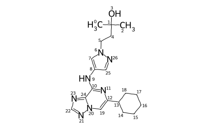 CC(C)(O)CCn1cc(Nc2nc(C3CCCCC3)cn3ncnc23)cn1